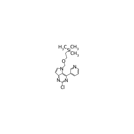 C[Si](C)(C)CCOCn1ccc2nc(Cl)nc(-c3cccnc3)c21